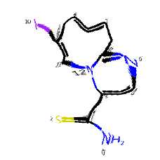 NC(=S)c1cnc2ccc(I)cn12